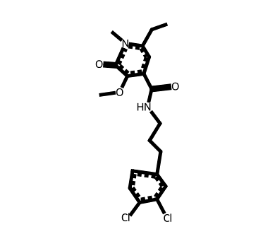 CCc1cc(C(=O)NCCCc2ccc(Cl)c(Cl)c2)c(OC)c(=O)n1C